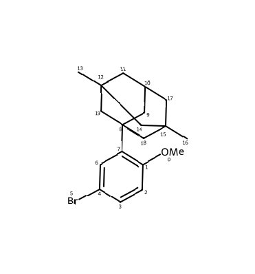 COc1ccc(Br)cc1C12CC3CC(C)(CC(C)(C3)C1)C2